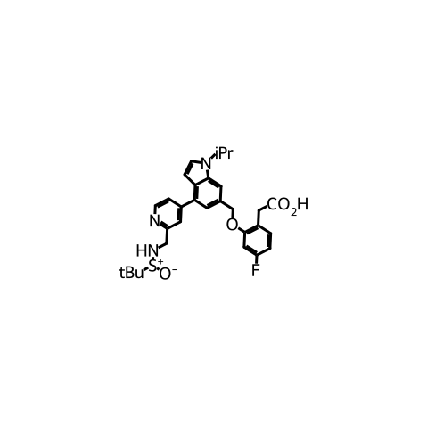 CC(C)n1ccc2c(-c3ccnc(CN[S+]([O-])C(C)(C)C)c3)cc(COc3cc(F)ccc3CC(=O)O)cc21